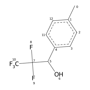 Cc1ccc(C(O)C(F)(F)C(F)(F)F)cc1